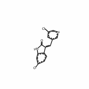 O=C1Nc2cc(Cl)ccc2C1=Cc1cncc(Cl)c1